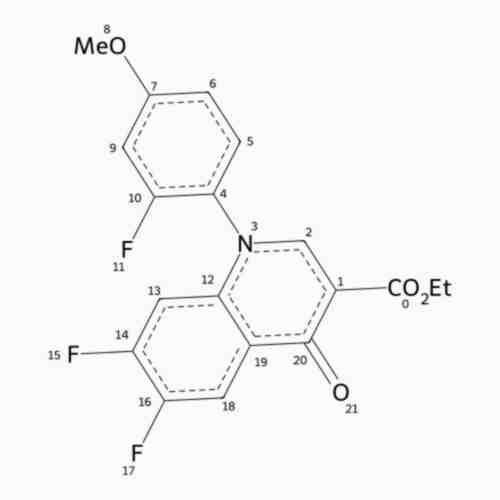 CCOC(=O)c1cn(-c2ccc(OC)cc2F)c2cc(F)c(F)cc2c1=O